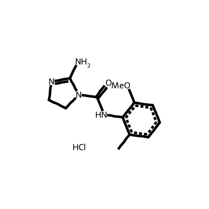 COc1cccc(C)c1NC(=O)N1CCN=C1N.Cl